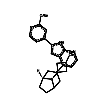 COc1cc(-c2cc3c(N4CC5CC[C@@H](C4)N5C4CC(C#N)C4)ccnc3[nH]2)ccn1